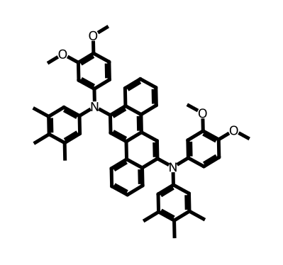 COc1ccc(N(c2cc(C)c(C)c(C)c2)c2cc3c4ccccc4c(N(c4cc(C)c(C)c(C)c4)c4ccc(OC)c(OC)c4)cc3c3ccccc23)cc1OC